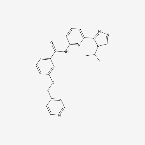 CC(C)n1cnnc1-c1cccc(NC(=O)c2cccc(OCc3ccncc3)c2)n1